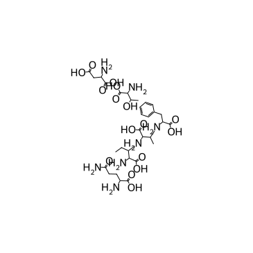 CC(C)C(N)C(=O)O.CC(O)C(N)C(=O)O.CCC(C)C(N)C(=O)O.NC(=O)CCC(N)C(=O)O.NC(CC(=O)O)C(=O)O.NC(Cc1ccccc1)C(=O)O